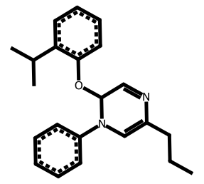 CCCC1=CN(c2ccccc2)C(Oc2ccccc2C(C)C)C=N1